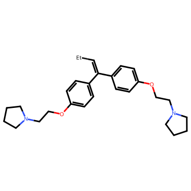 CCC=C(c1ccc(OCCN2CCCC2)cc1)c1ccc(OCCN2CCCC2)cc1